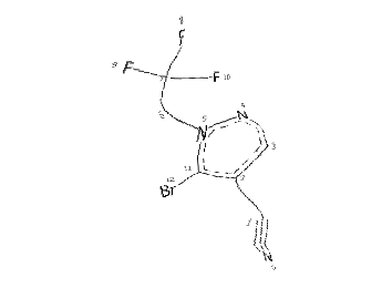 N#Cc1cnn(CC(F)(F)F)c1Br